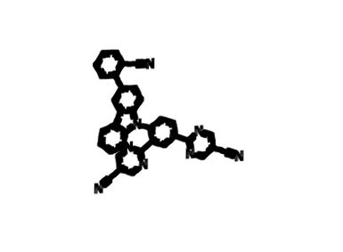 N#Cc1cnc(-c2ccc(-n3c4ccccc4c4cc(-c5ccccc5C#N)ccc43)c(-c3ncc(C#N)cn3)c2)nc1